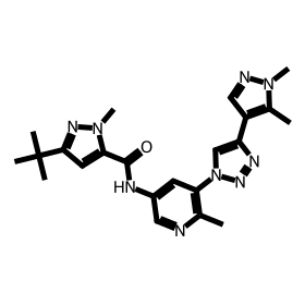 Cc1ncc(NC(=O)c2cc(C(C)(C)C)nn2C)cc1-n1cc(-c2cnn(C)c2C)nn1